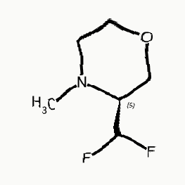 CN1CCOC[C@H]1C(F)F